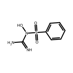 N=C(N)N(O)S(=O)(=O)c1ccccc1